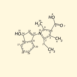 CCc1c(C)c(C(=O)O)c(C)n1C1=CC(O)c2ccccc21